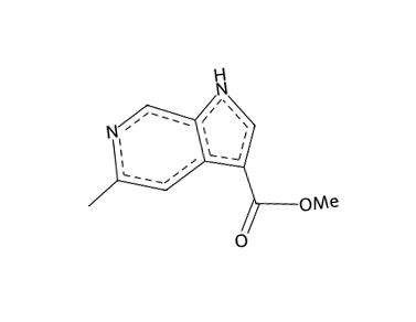 COC(=O)c1c[nH]c2cnc(C)cc12